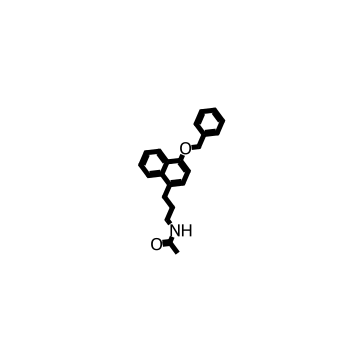 CC(=O)NCCCc1ccc(OCc2ccccc2)c2ccccc12